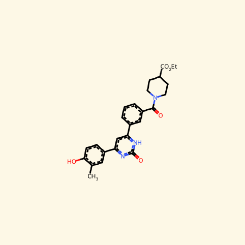 CCOC(=O)C1CCN(C(=O)c2cccc(-c3cc(-c4ccc(O)c(C)c4)nc(=O)[nH]3)c2)CC1